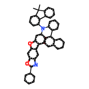 CC1(C)c2ccccc2-c2c(N(c3ccc4c(c3)oc3cc5oc(-c6ccccc6)nc5cc34)c3ccccc3-c3cccc4ccccc34)cccc21